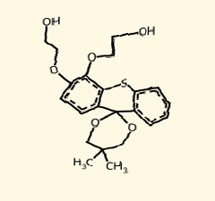 CC1(C)COC2(OC1)c1ccccc1Sc1c2ccc(OCCO)c1OCCO